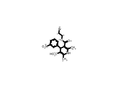 CC1=C(C(=O)O)C(c2cccc([N+](=O)[O-])c2)C(C(=O)OCCBr)=C(C)N1